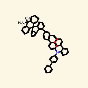 CC1(C)c2ccccc2C2(c3ccccc3-c3c(-c4ccc5c(ccc6cc(N(c7ccc(-c8ccccc8)cc7)c7ccccc7-c7ccccc7)ccc65)c4)cccc32)c2ccccc21